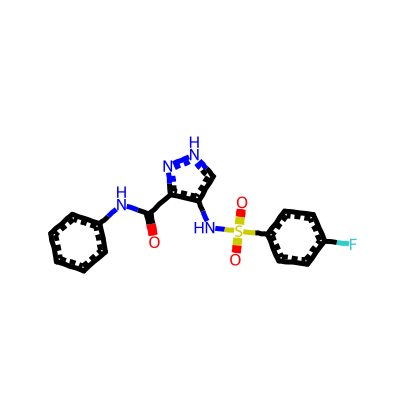 O=C(Nc1ccccc1)c1n[nH]cc1NS(=O)(=O)c1ccc(F)cc1